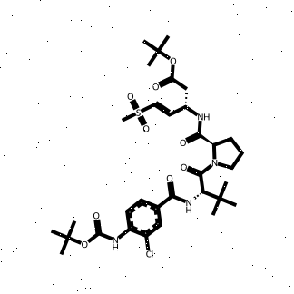 CC(C)(C)OC(=O)C[C@@H](/C=C/S(C)(=O)=O)NC(=O)[C@H]1CCCN1C(=O)[C@@H](NC(=O)c1ccc(NC(=O)OC(C)(C)C)c(Cl)c1)C(C)(C)C